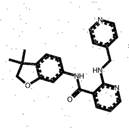 CC1(C)COc2cc(NC(=O)c3cccnc3NCc3ccncc3)ccc21